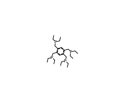 CCP(CC)Cc1cc(CP(CC)CC)c(CP(CC)CC)cc1CP(CC)CC